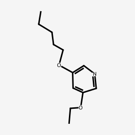 CCCCCOc1cncc(OCC)c1